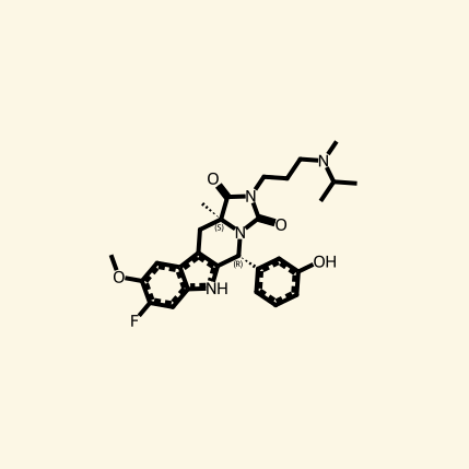 COc1cc2c3c([nH]c2cc1F)[C@@H](c1cccc(O)c1)N1C(=O)N(CCCN(C)C(C)C)C(=O)[C@]1(C)C3